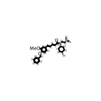 COc1cc(/C=C/C=C/C(=O)N(CCN(C)C)[C@H]2CC[C@H](C)CC2)ccc1OCc1ccccc1